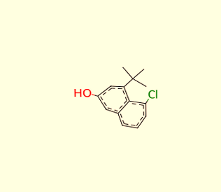 CC(C)(C)c1cc(O)cc2cccc(Cl)c12